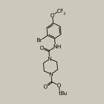 CC(C)(C)OC(=O)N1CCN(C(=O)Nc2ccc(OC(F)(F)F)cc2Br)CC1